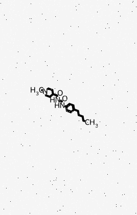 CCCCCc1ccc(NC(=O)NC(=O)C2CCN(C)CC2)cc1